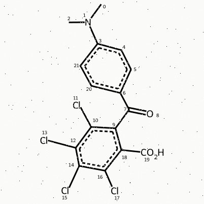 CN(C)c1ccc(C(=O)c2c(Cl)c(Cl)c(Cl)c(Cl)c2C(=O)O)cc1